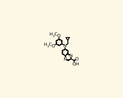 COc1cc(OC)cc(N(CC2CC2)c2ccc3ncc(C(=O)O)nc3c2)c1